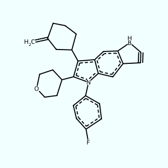 C=C1CCCC(c2c(C3CCOCC3)n(-c3ccc(F)cc3)c3cc4c(cc23)BC#C4)C1